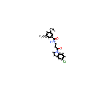 Cc1cc(C(=O)NCCC(=O)N2CCc3cc(Cl)ccc32)cc(C(F)(F)F)c1